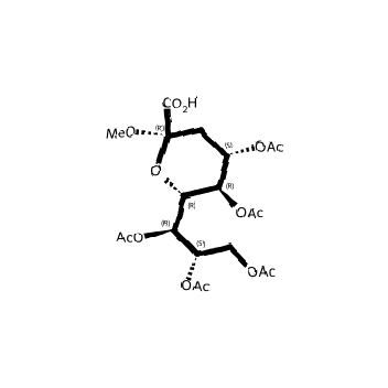 CO[C@]1(C(=O)O)C[C@H](OC(C)=O)[C@@H](OC(C)=O)[C@H]([C@H](OC(C)=O)[C@H](COC(C)=O)OC(C)=O)O1